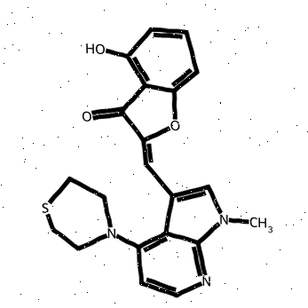 Cn1cc(/C=C2\Oc3cccc(O)c3C2=O)c2c(N3CCSCC3)ccnc21